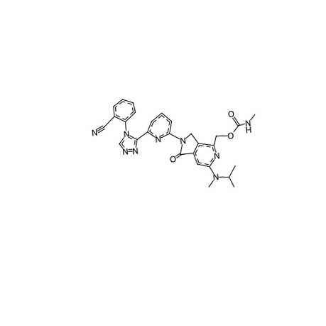 CNC(=O)OCc1nc(N(C)C(C)C)cc2c1CN(c1cccc(-c3nncn3-c3ccccc3C#N)n1)C2=O